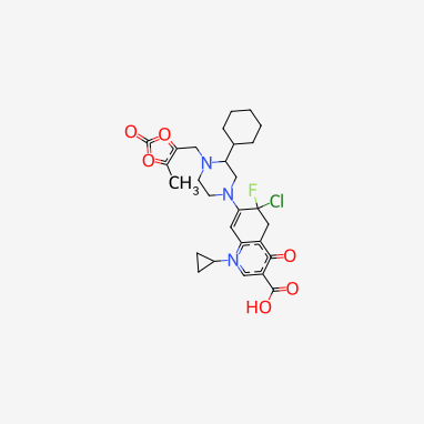 Cc1oc(=O)oc1CN1CCN(C2=Cc3c(c(=O)c(C(=O)O)cn3C3CC3)CC2(F)Cl)CC1C1CCCCC1